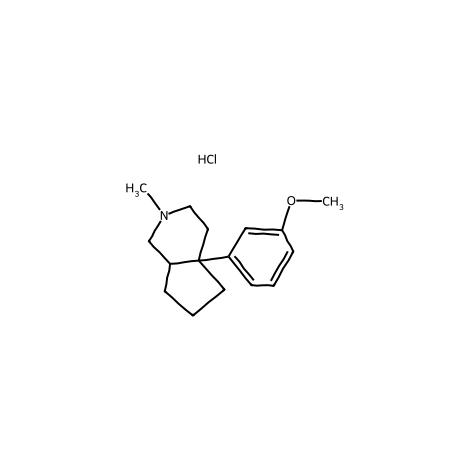 COc1cccc(C23CCCC2CN(C)CC3)c1.Cl